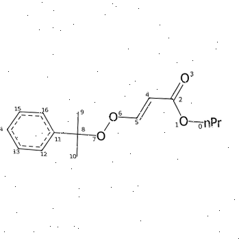 [C]CCOC(=O)C=COOC(C)(C)c1ccccc1